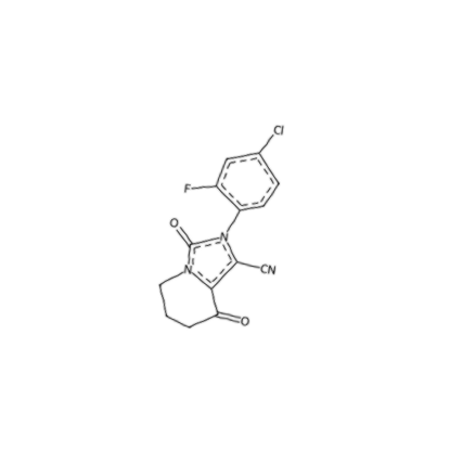 N#Cc1c2n(c(=O)n1-c1ccc(Cl)cc1F)CCCC2=O